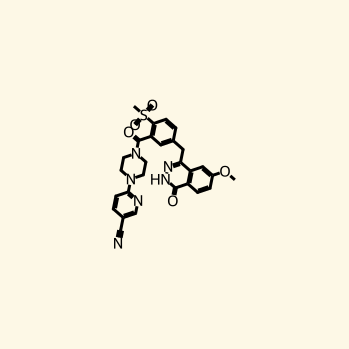 COc1ccc2c(=O)[nH]nc(Cc3ccc(S(C)(=O)=O)c(C(=O)N4CCN(c5ccc(C#N)cn5)CC4)c3)c2c1